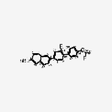 CCCCc1ccc2cc(-c3ccc(-c4ccc(OC(F)F)cc4)c(F)c3)ccc2c1